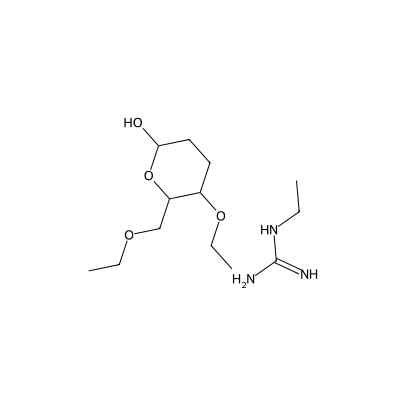 CCNC(=N)N.CCOCC1OC(O)CCC1OCC